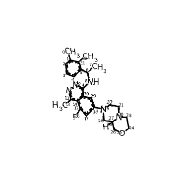 Cc1cccc([C@@H](C)Nc2nnc(C)c3c(F)cc(N4CCN5CCOC[C@@H]5C4)cc23)c1C